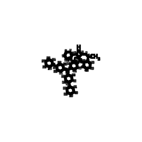 CC1C=C2NC(c3ccccc3)[C@]2(C)N(c2ccc(N(c3ccc(-c4ccccc4)cc3)c3ccc(-c4ccccc4)cc3)cc2)c2ccccc21